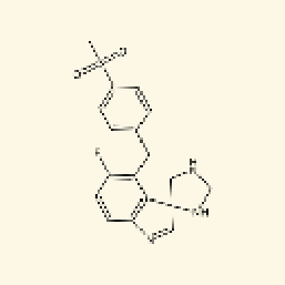 CS(=O)(=O)c1ccc(Cc2c(F)ccc3c2C2(C=N3)CNCN2)cc1